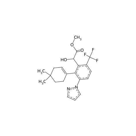 COC(=O)C(O)c1c(C(F)(F)F)ccc(-n2cccn2)c1C1=CCC(C)(C)CC1